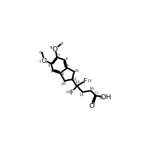 COc1cc2c(cc1OC)CC(C(F)(F)CCC(=O)O)C2